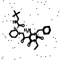 CCn1c(=O)c(C(=O)CN2CCCC[C@@H]2C(=O)NCC(C)(C)C)c(N)n(Cc2ccccc2)c1=O